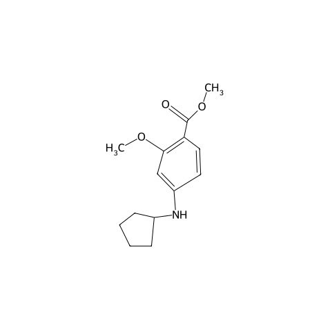 COC(=O)c1ccc(NC2CCCC2)cc1OC